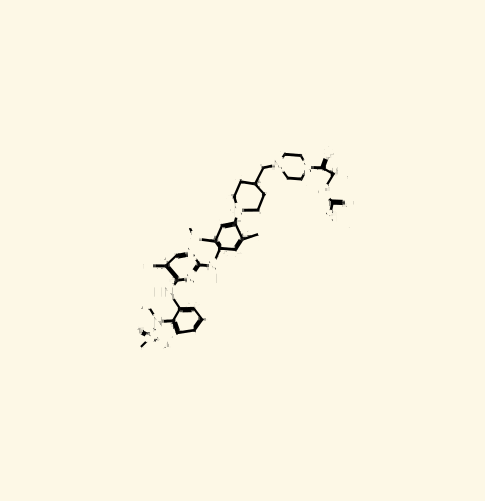 COc1cc(N2CCC(CN3CCN(C(=O)[C@H](C)OC(N)=O)CC3)CC2)c(C)cc1Nc1ncc(Cl)c(Nc2ccccc2N(C)S(C)(=O)=O)n1